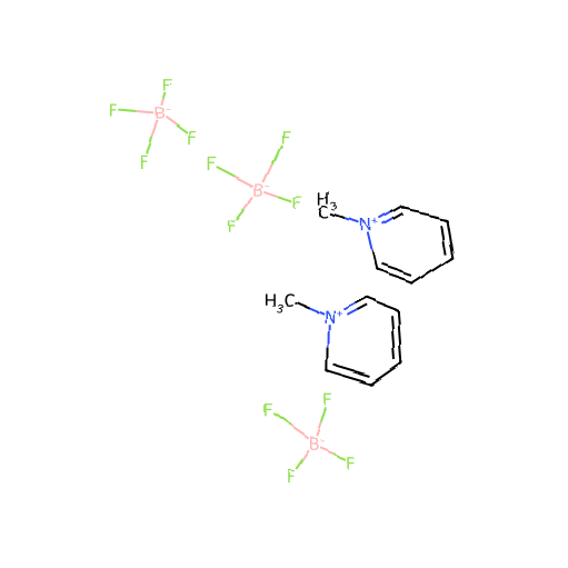 C[n+]1ccccc1.C[n+]1ccccc1.F[B-](F)(F)F.F[B-](F)(F)F.F[B-](F)(F)F